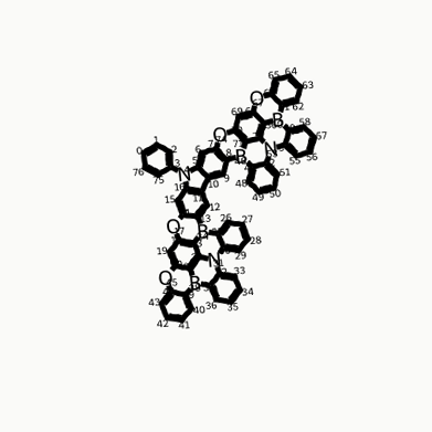 c1ccc(-n2c3cc4c(cc3c3cc5c(cc32)Oc2cc3c6c7c2B5c2ccccc2N7c2ccccc2B6c2ccccc2O3)B2c3ccccc3N3c5ccccc5B5c6ccccc6Oc6cc(c2c3c65)O4)cc1